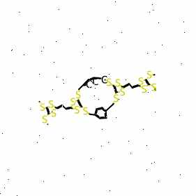 CSC1=C(SC)SC(=CC=C2SC3=C(SCc4ccc(cc4)CSC4=C(SCc5ccc(cc5)CS3)SC(=CC=C3SC(SC)=C(SC)S3)S4)S2)S1